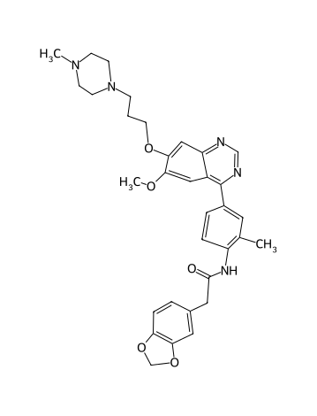 COc1cc2c(-c3ccc(NC(=O)Cc4ccc5c(c4)OCO5)c(C)c3)ncnc2cc1OCCCN1CCN(C)CC1